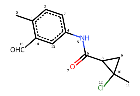 Cc1ccc(NC(=O)C2CC2(C)Cl)cc1C=O